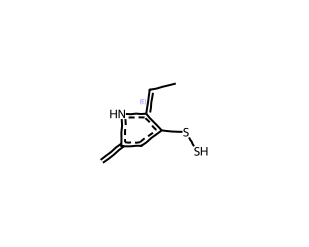 C=c1cc(SS)/c(=C\C)[nH]1